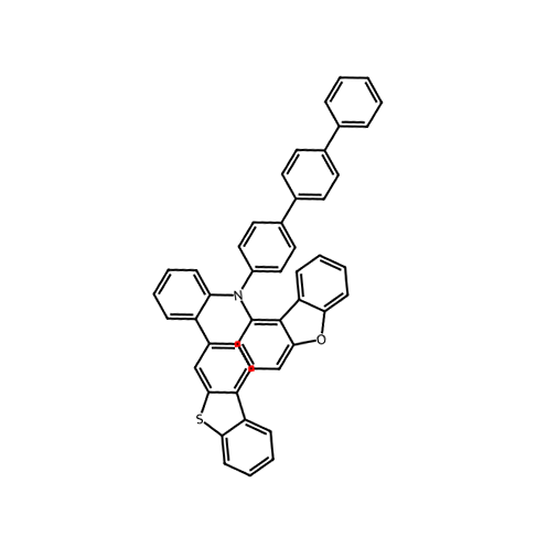 c1ccc(-c2ccc(-c3ccc(N(c4ccccc4-c4ccc5c(c4)sc4ccccc45)c4cccc5oc6ccccc6c45)cc3)cc2)cc1